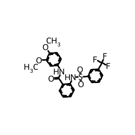 COc1ccc(NC(=O)c2ccccc2NS(=O)(=O)c2cccc(C(F)(F)F)c2)cc1OC